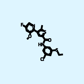 CCSc1cc(Cl)cc(NC(=O)c2cc(-c3ncc(F)cc3OC)c(C)s2)c1